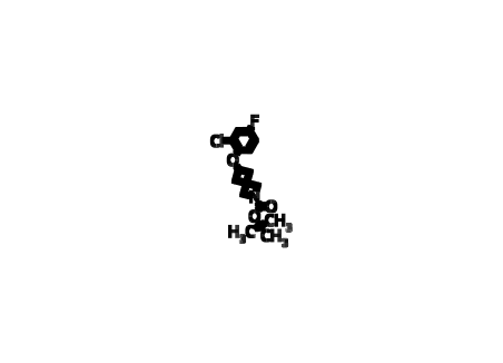 CC(C)(C)OC(=O)N1CC2(CC(Oc3ccc(F)cc3Cl)C2)C1